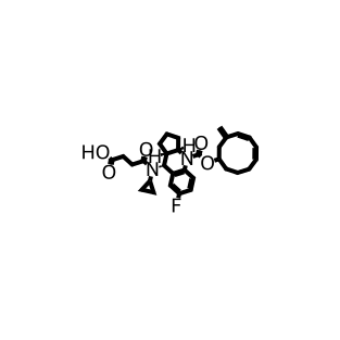 C=C1/C=C\C=C/CCCC(OC(=O)N2c3ccc(F)cc3[C@H](N(C(=O)CCC(=O)O)C3CC3)[C@@H]3CCC[C@@H]32)C1